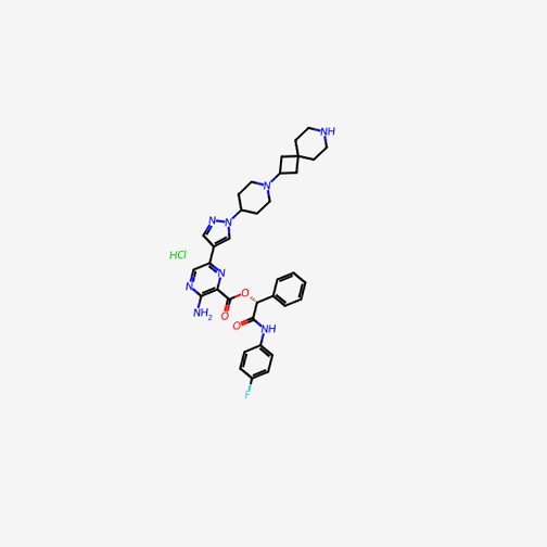 Cl.Nc1ncc(-c2cnn(C3CCN(C4CC5(CCNCC5)C4)CC3)c2)nc1C(=O)O[C@@H](C(=O)Nc1ccc(F)cc1)c1ccccc1